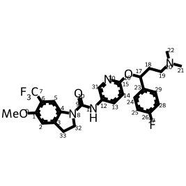 COc1cc2c(cc1C(F)(F)F)N(C(=O)Nc1ccc(OC(CCN(C)C)c3ccc(F)cc3)nc1)CC2